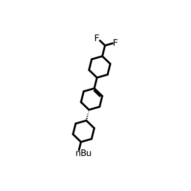 CCCCC1CCC([C@H]2CC=C(C3CCC(C(F)F)CC3)CC2)CC1